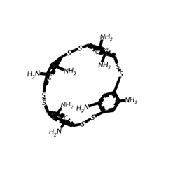 Nc1cc2c(N)cc1SSc1cc(N)c(cc1N)SSc1cc(N)c(cc1N)SSc1cc(N)c(cc1N)SS2